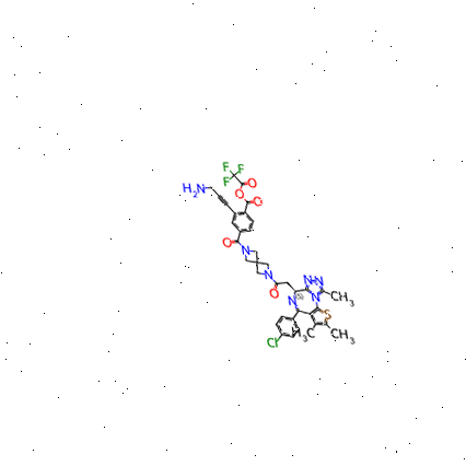 Cc1sc2c(c1C)C(c1ccc(Cl)cc1)=N[C@@H](CC(=O)N1CC3(C1)CN(C(=O)c1ccc(C(=O)OC(=O)C(F)(F)F)c(C#CCN)c1)C3)c1nnc(C)n1-2